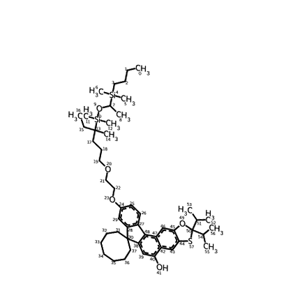 CCCC[Si](C)(C)C(C)O[Si](C)(C)C(C)(CC)CCCOCCOc1ccc2c(c1)C1(CCCCCCC1)c1cc(O)c3cc4c(cc3c1-2)OC(C(C)C)(C(C)C)S4